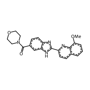 COc1cccc2ccc(-c3nc4ccc(C(=O)N5CCOCC5)cc4[nH]3)nc12